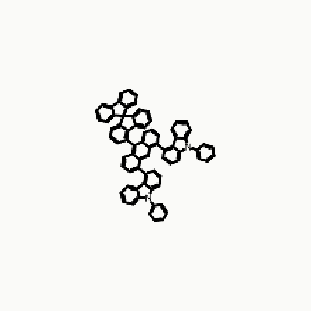 c1ccc(-n2c3ccccc3c3c(-c4cccc5c(-c6cccc7c6-c6ccccc6C76c7ccccc7-c7ccccc76)c6cccc(-c7cccc8c7c7ccccc7n8-c7ccccc7)c6cc45)cccc32)cc1